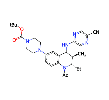 CC[C@H]1[C@H](C)C(Nc2cnc(C#N)cn2)c2cc(N3CCN(C(=O)OC(C)(C)C)CC3)ccc2N1C(C)=O